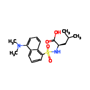 CC(C)C[C@@H](NS(=O)(=O)c1cccc2c(N(C)C)cccc12)C(=O)O